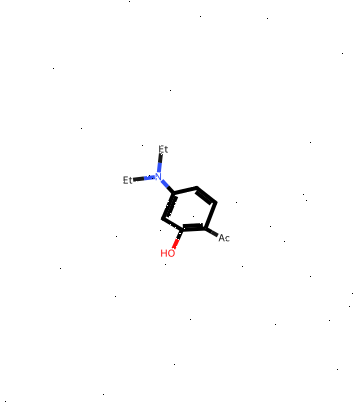 CCN(CC)c1ccc(C(C)=O)c(O)c1